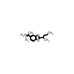 CCCC(C)c1nc2cc(C(C)(C)C)ccc2o1